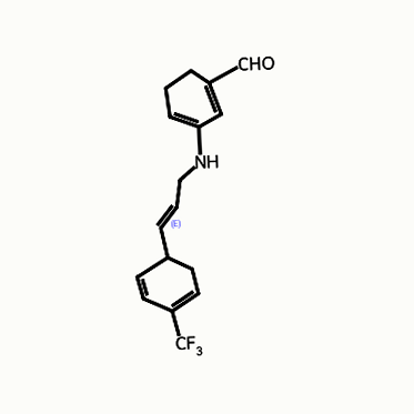 O=CC1=CC(NC/C=C/C2C=CC(C(F)(F)F)=CC2)=CCC1